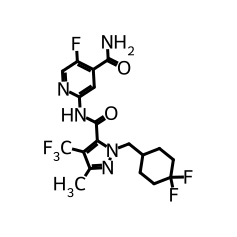 Cc1nn(CC2CCC(F)(F)CC2)c(C(=O)Nc2cc(C(N)=O)c(F)cn2)c1C(F)(F)F